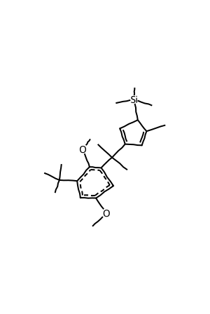 COc1cc(C(C)(C)C)c(OC)c(C(C)(C)C2=CC([Si](C)(C)C)C(C)=C2)c1